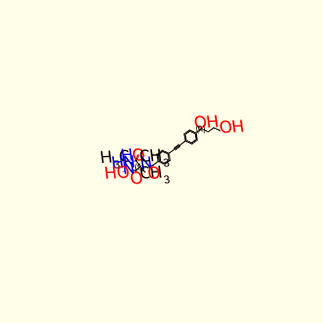 CNC(=O)[C@@](C)(C(=O)NO)N(C)C(=O)c1ccc(C#Cc2ccc([C@H](O)CCCO)cc2)cc1